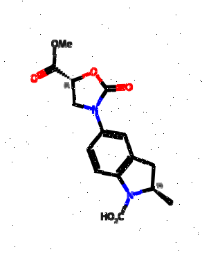 COC(=O)[C@H]1CN(c2ccc3c(c2)C[C@@H](C)N3C(=O)O)C(=O)O1